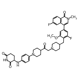 COc1cc(-c2cn(C)c(=O)c3ccc(F)cc23)cc(F)c1CC1CCN(CC(=O)C2CCN(c3ccc(NC4CCC(=O)NC4=O)cc3)CC2)CC1